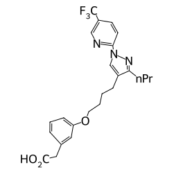 CCCc1nn(-c2ccc(C(F)(F)F)cn2)cc1CCCCOc1cccc(CC(=O)O)c1